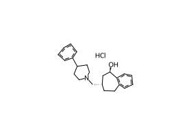 Cl.O[C@@H]1C[C@@H](CN2CCC(c3ccccc3)CC2)CCc2ccccc21